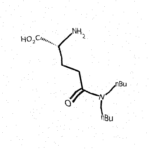 CCCCN(CCCC)C(=O)CC[C@@H](N)C(=O)O